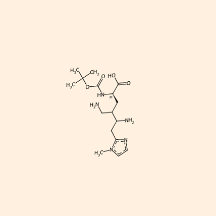 Cn1ccnc1CC(N)C(CN)C[C@@H](NC(=O)OC(C)(C)C)C(=O)O